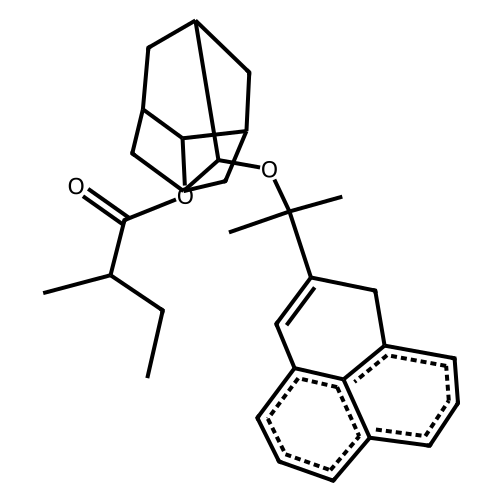 CCC(C)C(=O)OC1C2CC3CC1CC(C2)C3OC(C)(C)C1=Cc2cccc3cccc(c23)C1